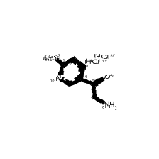 CSc1ccc(C(=O)CN)cn1.Cl.Cl